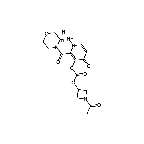 CC(=O)N1CC(OC(=O)Oc2c3n(ccc2=O)N[C@@H]2COCCN2C3=O)C1